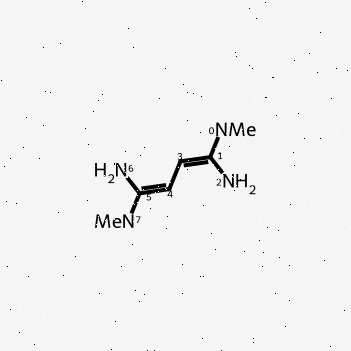 CN/C(N)=C/C=C(\N)NC